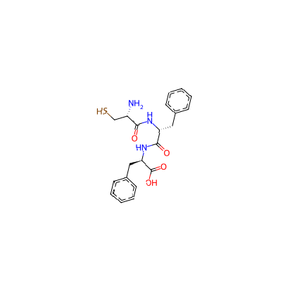 N[C@@H](CS)C(=O)N[C@H](Cc1ccccc1)C(=O)N[C@H](Cc1ccccc1)C(=O)O